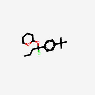 CCCC(Cl)(OC1CCCCO1)c1ccc(C(C)(C)C)cc1